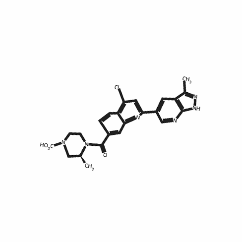 Cc1n[nH]c2ncc(-c3cc(Cl)c4ccc(C(=O)N5CCN(C(=O)O)C[C@@H]5C)cc4n3)cc12